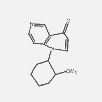 COC1CCCCC1n1ccc(=O)c2cnccc21